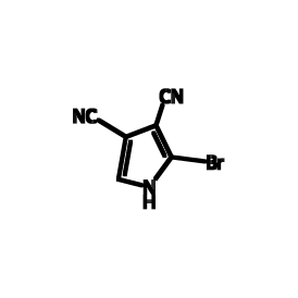 N#Cc1c[nH]c(Br)c1C#N